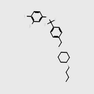 CCCC[C@H]1CC[C@H](CCc2ccc(C(F)(F)Oc3ccc(F)c(F)c3)cc2)CC1